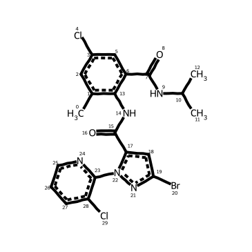 Cc1cc(Cl)cc(C(=O)NC(C)C)c1NC(=O)c1cc(Br)nn1-c1ncccc1Cl